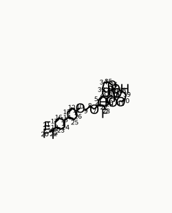 O[P]1(C(c2ccc(OCCOc3ccc(-c4ccc(C(F)(F)F)cc4)cc3)c(F)c2)[P]2(O)OCCCO2)OCCCO1